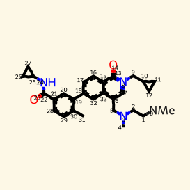 CNCCN(C)Cc1cn(CC2CC2)c(=O)c2ccc(-c3cc(C(=O)NC4CC4)ccc3C)cc12